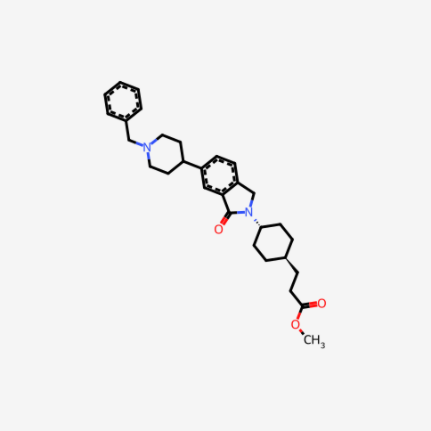 COC(=O)CC[C@H]1CC[C@H](N2Cc3ccc(C4CCN(Cc5ccccc5)CC4)cc3C2=O)CC1